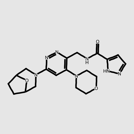 O=C(NCc1nnc(N2CC3CCC(C2)O3)cc1N1CCOCC1)c1ccn[nH]1